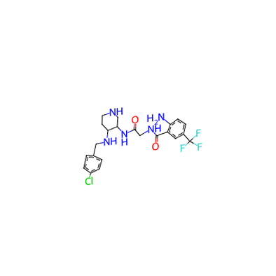 Nc1ccc(C(F)(F)F)cc1C(=O)NCC(=O)NC1CNCCC1NCc1ccc(Cl)cc1